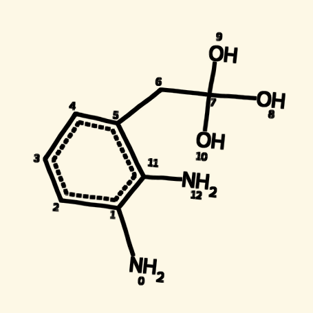 Nc1cccc(CC(O)(O)O)c1N